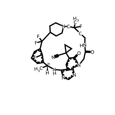 C[C@H]1Nc2ncnc3c2cc(C2(C#N)CC2)c(=O)n3CC(=O)NCCC(C)(F)CN2CCC(CC2)C(F)(F)c2cccc1c2F